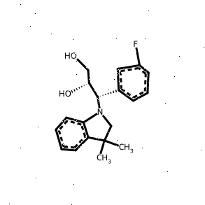 CC1(C)CN([C@@H](c2cccc(F)c2)[C@H](O)CO)c2ccccc21